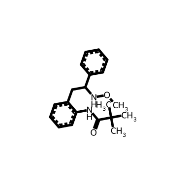 CONC(Cc1ccccc1NC(=O)C(C)(C)C)c1ccccc1